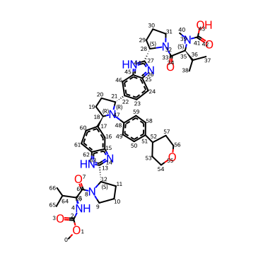 COC(=O)N[C@H](C(=O)N1CCC[C@H]1c1nc2cc([C@H]3CC[C@H](c4ccc5nc([C@@H]6CCCN6C(=O)[C@H](C(C)C)N(C)C(=O)O)[nH]c5c4)N3c3ccc(C4CCOCC4)cc3)ccc2[nH]1)C(C)C